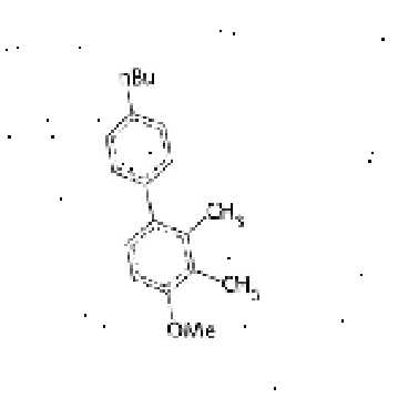 CCCCc1ccc(-c2ccc(OC)c(C)c2C)cc1